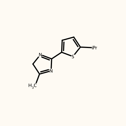 CC1=NC(c2ccc(C(C)C)s2)=NC1